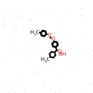 Cc1ccc(OCOc2ccc(C(OO)C3CCC(C)CC3)cc2)cc1